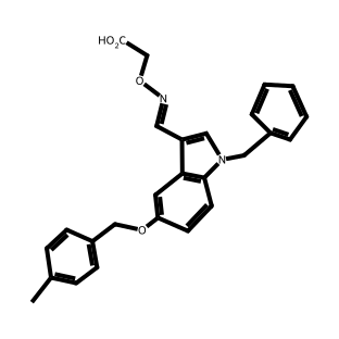 Cc1ccc(COc2ccc3c(c2)c(C=NOCC(=O)O)cn3Cc2ccccc2)cc1